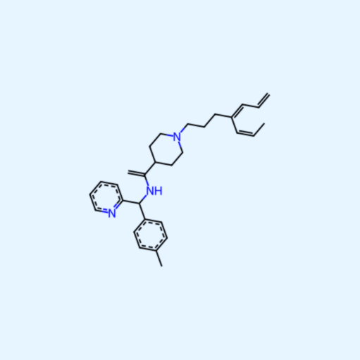 C=C/C=C(\C=C/C)CCCN1CCC(C(=C)NC(c2ccc(C)cc2)c2ccccn2)CC1